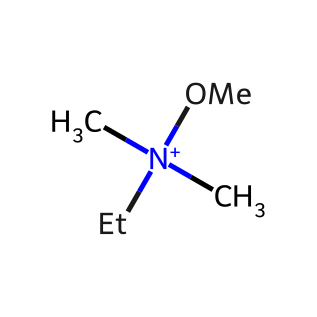 CC[N+](C)(C)OC